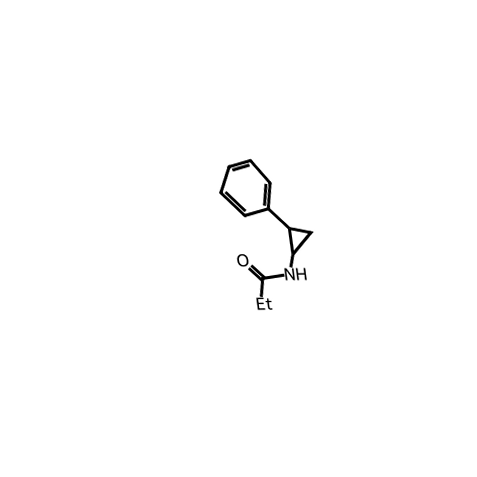 CCC(=O)NC1CC1c1ccccc1